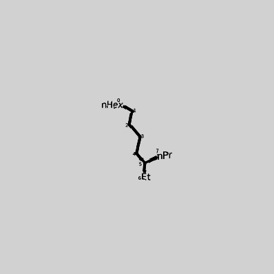 [CH2]CCCCCCCCCC(CC)CCC